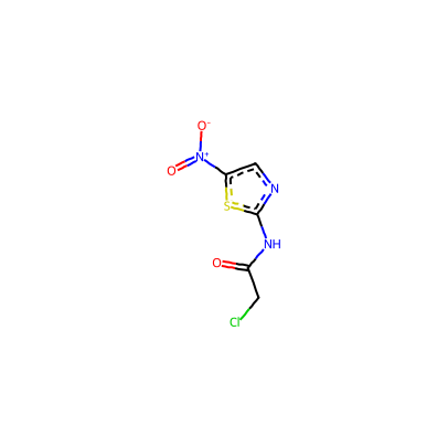 O=C(CCl)Nc1ncc([N+](=O)[O-])s1